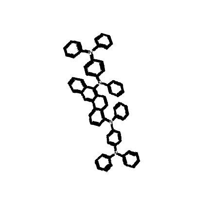 c1ccc(N(c2ccccc2)c2ccc(N(c3ccccc3)c3cccc4c3ccc3c(N(c5ccccc5)c5ccc(N(c6ccccc6)c6ccccc6)cc5)c5ccccc5cc34)cc2)cc1